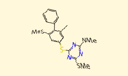 CNc1nc(SC)nc(Sc2cc(C)c(-c3ccccc3)c(SC)c2)n1